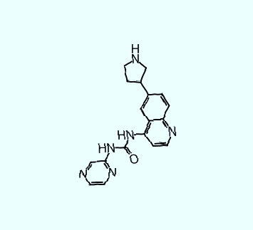 O=C(Nc1cnccn1)Nc1ccnc2ccc(C3CCNC3)cc12